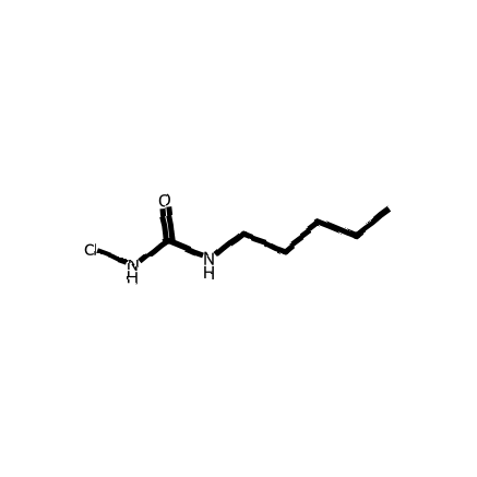 CCCCCNC(=O)NCl